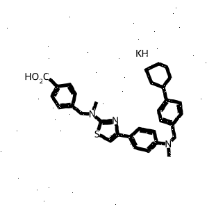 CN(Cc1ccc(C2CCCCC2)cc1)c1ccc(-c2csc(N(C)Cc3ccc(C(=O)O)cc3)n2)cc1.[KH]